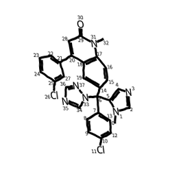 Cn1cncc1C(c1ccc(Cl)cc1)(c1ccc2c(c1)c(-c1cccc(Cl)c1)cc(=O)n2C)n1cncn1